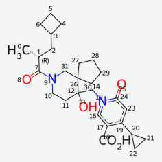 C[C@H](CC1CCC1)C(=O)N1CCC(O)(Cn2cc(C(=O)O)c(C3CC3)cc2=O)C2(CCCC2)C1